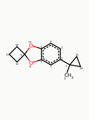 CC1(c2ccc3c(c2)OC2(CCC2)O3)CC1